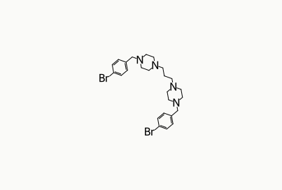 Brc1ccc(CN2CCN(CCCN3CCN(Cc4ccc(Br)cc4)CC3)CC2)cc1